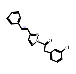 O=C(Cc1cccc(Cl)c1)n1ccc(/C=C/c2ccccc2)n1